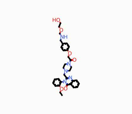 CCOc1ccccc1-n1c(CN2CCN(C(=O)COc3ccc(CNCOCCO)cc3)CC2)nc2ccccc2c1=O